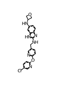 Clc1ccc(Oc2ccc(CNc3nc4ccc(NC5COC5)cc4[nH]3)cn2)nc1